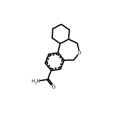 NC(=O)c1ccc2c(c1)COCC1CCCCC21